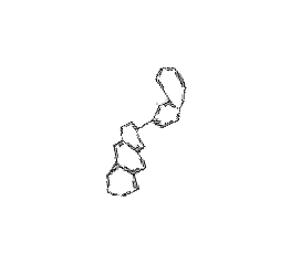 [c]1c(-c2ccc3cc4ccccc4cc3c2)ccc2ccccc12